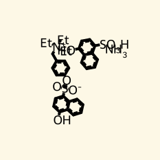 CC[N+](CC)(CC)Cc1ccccc1.N.O=S(=O)(O)c1ccc(O)c2ccccc12.O=S(=O)([O-])c1ccc(O)c2ccccc12